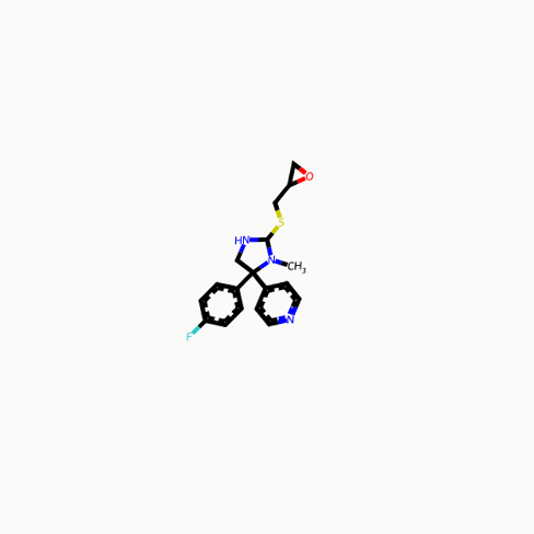 CN1C(SCC2CO2)NCC1(c1ccncc1)c1ccc(F)cc1